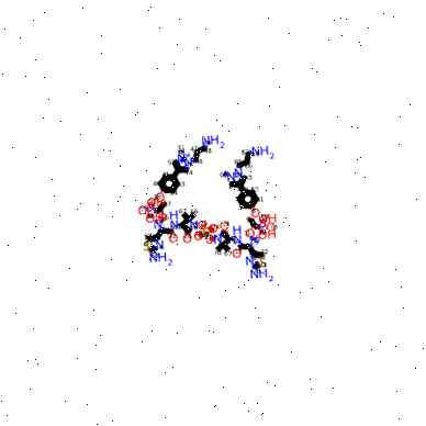 C[n+]1cc(-c2ccc(OCC(O/N=C(\C(=O)N[C@@H]3C(=O)N(OS(=O)(=O)ON4C(=O)[C@@H](NC(=O)/C(=N\OC(COc5ccc(-c6cn(CCCN)[n+](C)c6)cc5)P(=O)(O)O)c5csc(N)n5)C4(C)C)C3(C)C)c3csc(N)n3)P(=O)(O)O)cc2)cn1CCCN